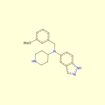 COc1cccc(CN(c2ccc3[nH]ncc3c2)C2CCNCC2)c1